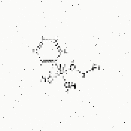 O[PH](O)(OCF)c1ccccc1